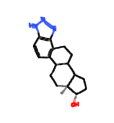 C[C@]12CCC3c4ccc5[nH]nnc5c4CCC3C1CC[C@@H]2O